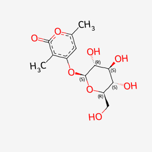 Cc1cc(O[C@@H]2O[C@H](CO)[C@@H](O)[C@H](O)[C@H]2O)c(C)c(=O)o1